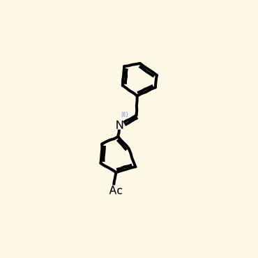 CC(=O)c1ccc(/N=C/c2ccccc2)cc1